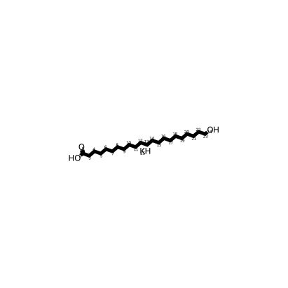 O=C(O)CCCCCCCCCCCCCCCCCCCCCO.[KH]